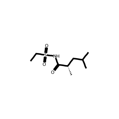 CCS(=O)(=O)NC(=O)[C@@H](C)CC(C)C